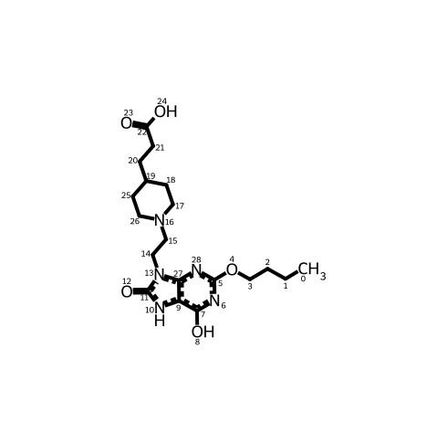 CCCCOc1nc(O)c2[nH]c(=O)n(CCN3CCC(CCC(=O)O)CC3)c2n1